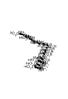 CC(C)C[C@H](N)C(=O)O.CC(C)C[C@H](N)C(=O)O.CC(C)C[C@H](N)C(=O)O.CC(C)C[C@H](N)C(=O)O.CC(C)C[C@H](N)C(=O)O.CSCC[C@H](N)C(=O)O.CSCC[C@H](N)C(=O)O.N=C(N)NCCC[C@H](N)C(=O)O.N=C(N)NCCC[C@H](N)C(=O)O.N=C(N)NCCC[C@H](N)C(=O)O.N=C(N)NCCC[C@H](N)C(=O)O.N=C(N)NCCC[C@H](N)C(=O)O